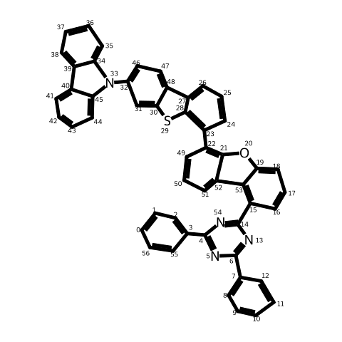 c1ccc(-c2nc(-c3ccccc3)nc(-c3cccc4oc5c(-c6cccc7c6sc6cc(-n8c9ccccc9c9ccccc98)ccc67)cccc5c34)n2)cc1